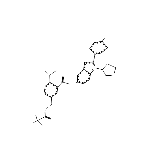 CC(C)(F)C(=O)NCc1cnc(C(F)F)c(C(=O)Nc2ccc3c(c2)cc(-c2ccc(Cl)cc2)n3C2CCOC2)c1